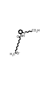 C[S+]([O-])CCCCCCCCC(=O)Nc1ccccc1SCCCCC(=O)O